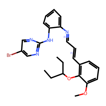 CCC(CC)Oc1c(/C=C/C=N/c2ccccc2Nc2ncc(Br)cn2)cccc1OC